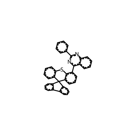 c1ccc(-c2nc(-c3cccc4c3Sc3ccccc3C43c4ccccc4-c4ccccc43)c3ccccc3n2)cc1